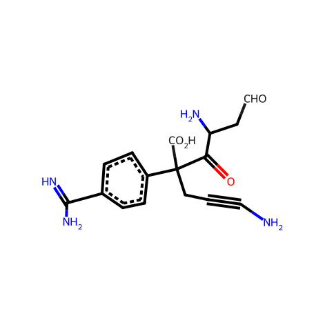 N=C(N)c1ccc(C(CC#CN)(C(=O)O)C(=O)C(N)CC=O)cc1